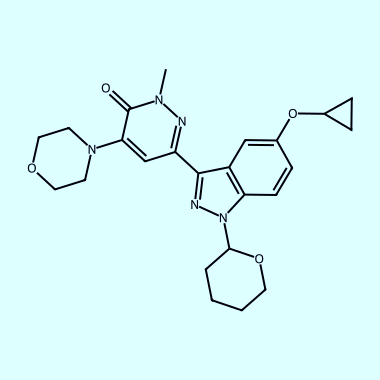 Cn1nc(-c2nn(C3CCCCO3)c3ccc(OC4CC4)cc23)cc(N2CCOCC2)c1=O